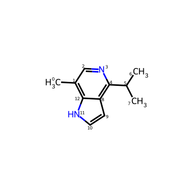 Cc1cnc(C(C)C)c2cc[nH]c12